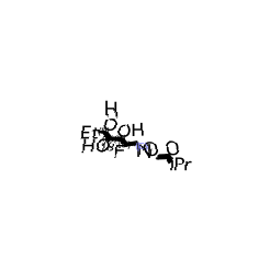 CC[C@@H](O)[C@@H](O)[C@H](O)[C@@H]([18F])/C=N/OCC(=O)C(C)C